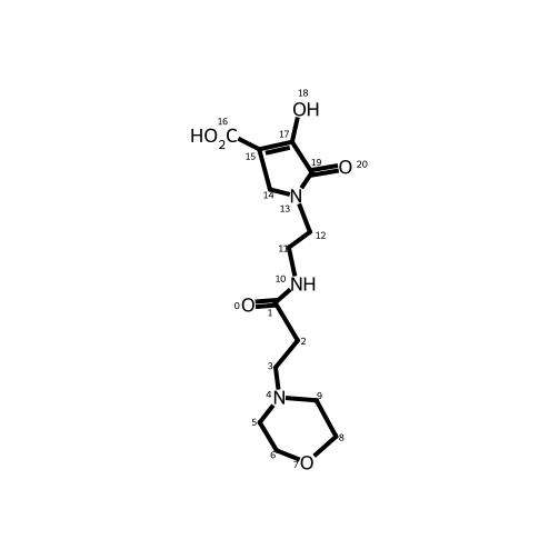 O=C(CCN1CCOCC1)NCCN1CC(C(=O)O)=C(O)C1=O